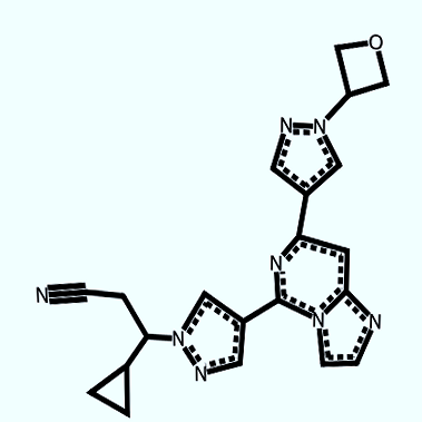 N#CCC(C1CC1)n1cc(-c2nc(-c3cnn(C4COC4)c3)cc3nccn23)cn1